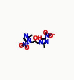 Cc1nc([N+](=O)[O-])cn1CC(O)Cn1c([N+](=O)[O-])cnc1C